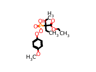 CCOC(=O)C(CC)(CC)P(=O)(O)OOc1ccc(OC)cc1